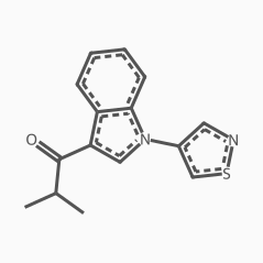 CC(C)C(=O)c1cn(-c2cnsc2)c2ccccc12